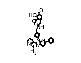 Nc1ncccc1-c1nc2ccc(-c3ccccc3)nc2n1-c1ccc(CNC(=O)Cc2ccc(C=O)c(O)c2Cl)cc1